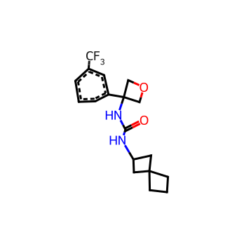 O=C(NC1CC2(CCC2)C1)NC1(c2cccc(C(F)(F)F)c2)COC1